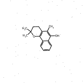 Cc1c2c(c3ccccc3c1O)OC(C)(C)CC2